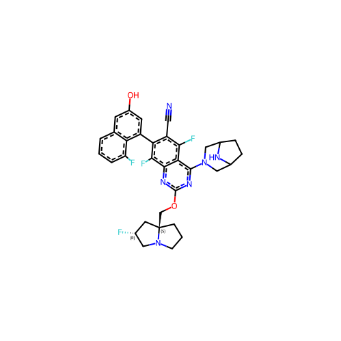 N#Cc1c(-c2cc(O)cc3cccc(F)c23)c(F)c2nc(OC[C@@]34CCCN3C[C@H](F)C4)nc(N3CC4CCC(C3)N4)c2c1F